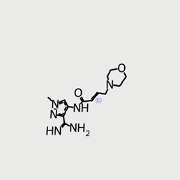 Cn1cc(NC(=O)/C=C/CN2CCOCC2)c(C(=N)N)n1